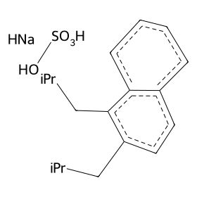 CC(C)Cc1ccc2ccccc2c1CC(C)C.O=S(=O)(O)O.[NaH]